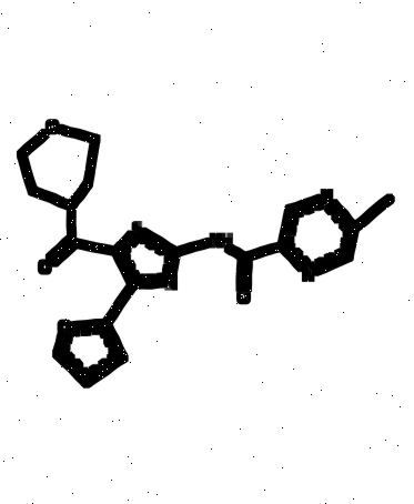 Cc1cnc(C(=O)Nc2nc(-c3ccco3)c(C(=O)C3CCOCC3)s2)cn1